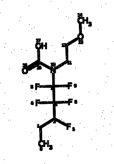 CCC(F)C(F)(F)C(F)(F)N(CCOC)C(=O)O